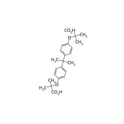 CC(C)(Oc1ccc(C(C)(C)c2ccc(OC(C)(C)C(=O)O)cc2)cc1)C(=O)O